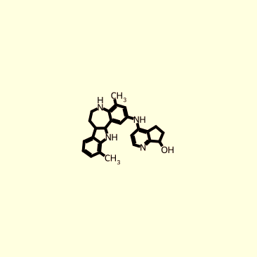 Cc1cccc2c1NC1c3cc(Nc4ccnc5c4CCC5O)cc(C)c3NCCC21